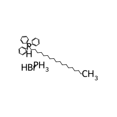 Br.CCCCCCCCCCCCCCCCCC[PH](c1ccccc1)(c1ccccc1)c1ccccc1.P